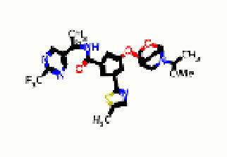 COC(C)N1CC2COC1=CC2Oc1cc(C(=O)N[C@H](C)c2cnc(C(F)(F)F)nc2)cc(-c2ncc(C)s2)c1